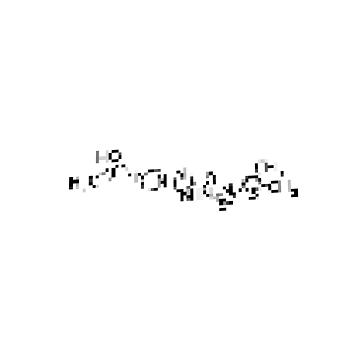 CCOC(O)CCN1CCN(c2cnc(C(=O)Nc3nc(-c4cc(C)c(C)s4)cs3)cn2)CC1